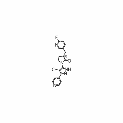 O=C1[C@H](Cc2ccc(F)nc2)CCN1c1[nH]nc(-c2ccncc2)c1Cl